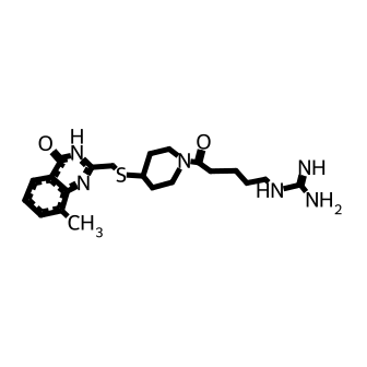 Cc1cccc2c(=O)[nH]c(CSC3CCN(C(=O)CCCCNC(=N)N)CC3)nc12